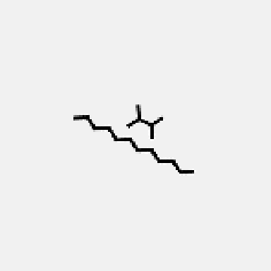 CC(C)C(C)C.CCCCCCCCCCCC